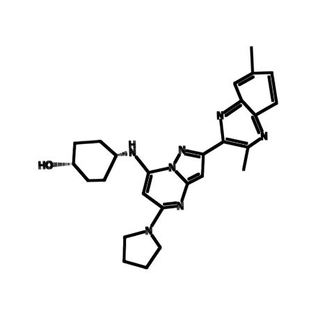 Cc1ccc2nc(C)c(-c3cc4nc(N5CCCC5)cc(N[C@H]5CC[C@@H](O)CC5)n4n3)nc2c1